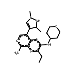 CCc1nc2c(N)ncc(C3=CN(C)NC3C)c2nc1NC1CCOCC1